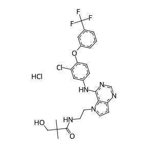 CC(C)(CO)C(=O)NCCn1ccc2ncnc(Nc3ccc(Oc4cccc(C(F)(F)F)c4)c(Cl)c3)c21.Cl